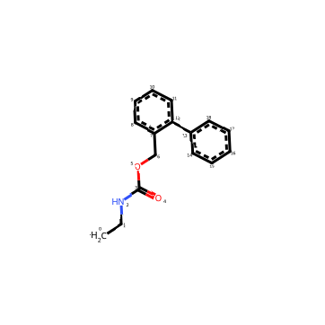 [CH2]CNC(=O)OCc1ccccc1-c1ccccc1